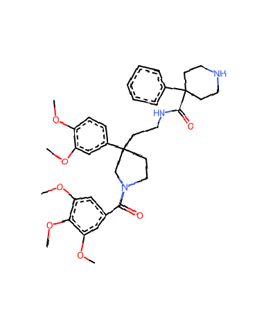 COc1ccc(C2(CCNC(=O)C3(c4ccccc4)CCNCC3)CCN(C(=O)c3cc(OC)c(OC)c(OC)c3)C2)cc1OC